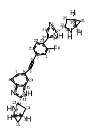 Fc1cc(C#Cc2ccc3nc([C@@H]4C[C@H]5C[C@H]5N4)[nH]c3c2)ccc1-c1cnc([C@@H]2C[C@H]3C[C@H]3N2)[nH]1